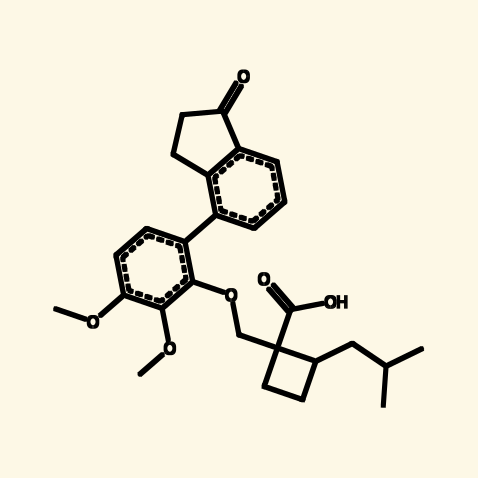 COc1ccc(-c2cccc3c2CCC3=O)c(OCC2(C(=O)O)CCC2CC(C)C)c1OC